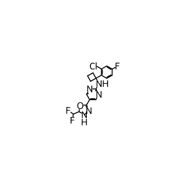 Fc1ccc(C2(Nc3ncc(C4=NNC(C(F)F)O4)cn3)CCC2)c(Cl)c1